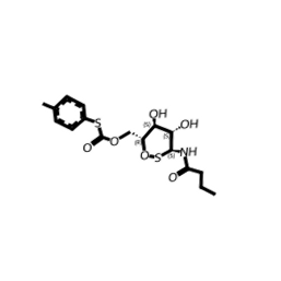 CCCC(=O)N[C@H]1SO[C@H](COC(=O)Sc2ccc(C)cc2)[C@@H](O)[C@@H]1O